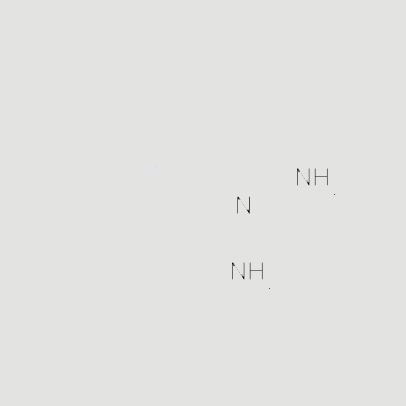 C=C(C)/C=C(/C)N(N)N